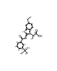 CCc1ccc2c(c1)s/c(=N\C(=O)c1cccc(C(F)(F)F)c1)n2C(C)C(=O)O